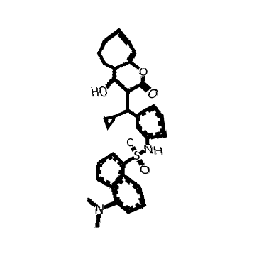 CN(C)c1cccc2c(S(=O)(=O)Nc3cccc(C(C4CC4)C4C(=O)OC5=CC=CCCCC5C4O)c3)cccc12